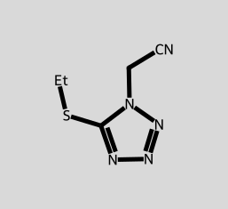 CCSc1nnnn1CC#N